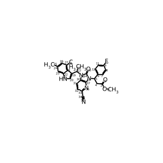 COC(=O)CC(c1ccc(F)cc1)n1c(=O)n(C(C)c2c[nH]c3cc(C)cc(C)c23)c2ccc(C#N)nc21